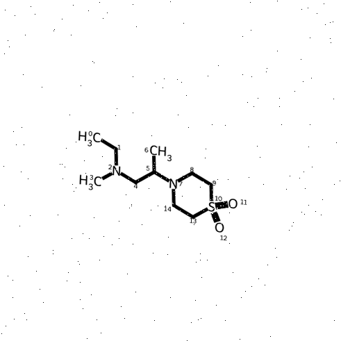 CCN(C)CC(C)N1CCS(=O)(=O)CC1